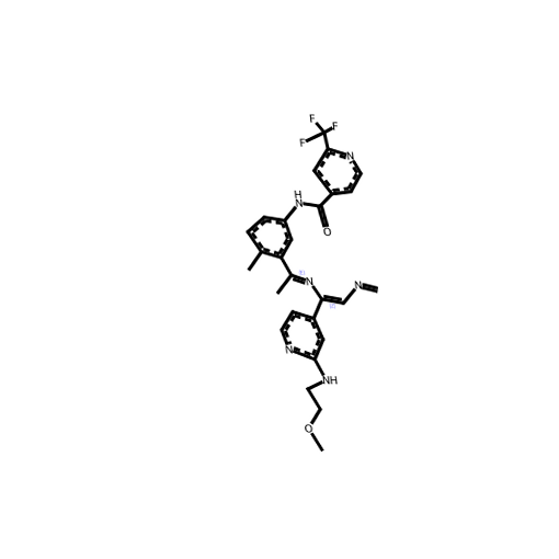 C=N/C=C(\N=C(/C)c1cc(NC(=O)c2ccnc(C(F)(F)F)c2)ccc1C)c1ccnc(NCCOC)c1